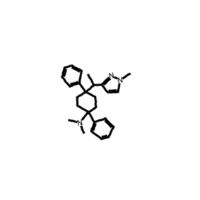 C[C](c1ccn(C)n1)C1(c2ccccc2)CCC(c2ccccc2)(N(C)C)CC1